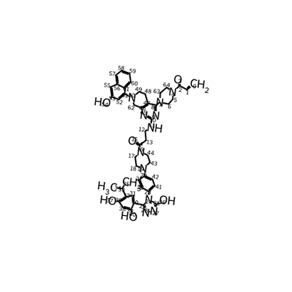 C=CC(=O)N1CCN(c2nc(NCCC(=O)N3CCN(c4ccc(-n5c(O)nnc5-c5cc(C(C)C)c(O)cc5O)cc4)CC3)nc3c2CCN(c2cc(O)cc4ccccc24)C3)CC1